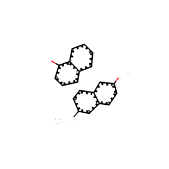 COc1ccc2cc(O)ccc2c1.Oc1cccc2ccccc12